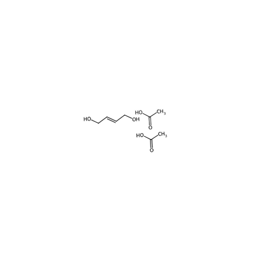 CC(=O)O.CC(=O)O.OCC=CCO